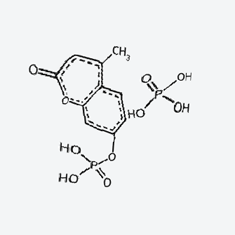 Cc1cc(=O)oc2cc(OP(=O)(O)O)ccc12.O=P(O)(O)O